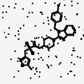 Cc1cc(CS(=O)(=O)NCC2CCN(c3nc4ccccc4n3Cc3ccc(F)cc3)CC2)no1